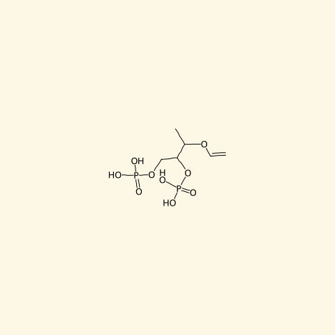 C=COC(C)C(COP(=O)(O)O)OP(=O)(O)O